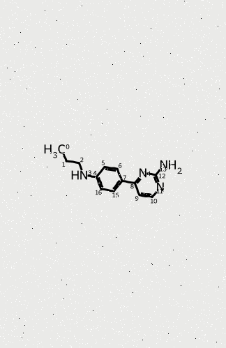 CCCNc1ccc(-c2ccnc(N)n2)cc1